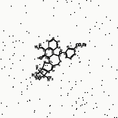 CCOC(=O)c1cccc(O[C@H]2CCc3cc4c(cc3N(C(=O)[C@@H](C)c3ccccc3)C2)[C@@](C)(F)C4(O)C(F)(F)F)c1